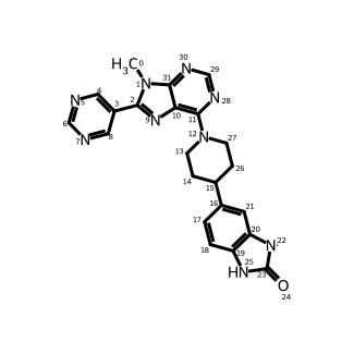 Cn1c(-c2cncnc2)nc2c(N3CCC(c4ccc5c(c4)[N]C(=O)N5)CC3)ncnc21